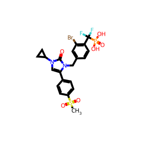 CS(=O)(=O)c1ccc(-c2cn(C3CC3)c(=O)n2Cc2ccc(C(F)(F)P(=O)(O)O)c(Br)c2)cc1